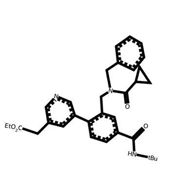 CCOC(=O)Cc1cncc(-c2ccc(C(=O)NC(C)(C)C)cc2CN(Cc2ccccc2)C(=O)C2CC2)c1